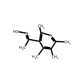 C/C(=N\O)c1c(C)nc(C)c(C)c1C